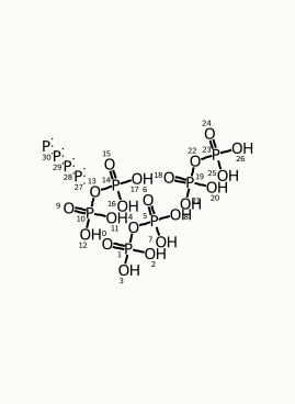 O=P(O)(O)OP(=O)(O)O.O=P(O)(O)OP(=O)(O)O.O=P(O)(O)OP(=O)(O)O.[P].[P].[P].[P]